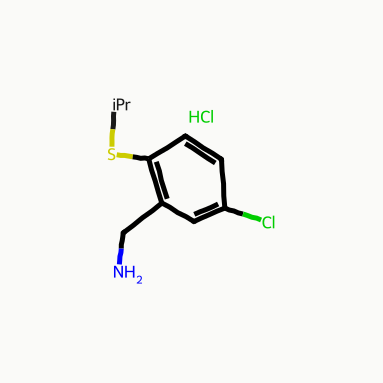 CC(C)Sc1ccc(Cl)cc1CN.Cl